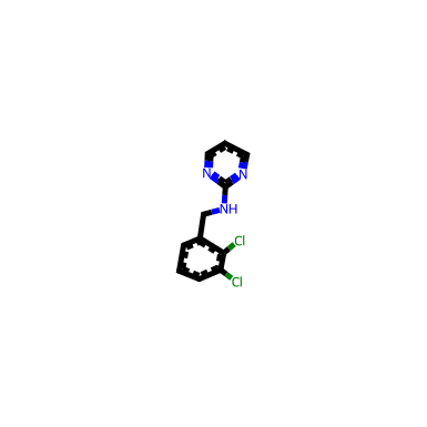 Clc1cccc(CNc2nc[c]cn2)c1Cl